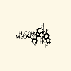 COC(C)(C)COc1cnccc1-c1[nH]c2c(c1Nc1cc(F)cc(F)c1OC(F)F)C(=O)NCC2